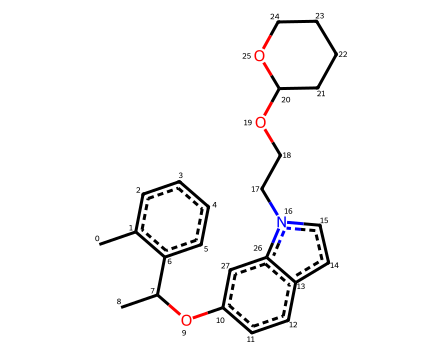 Cc1ccccc1C(C)Oc1ccc2ccn(CCOC3CCCCO3)c2c1